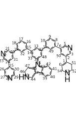 C1=C(c2cncc(-c3cccc(-c4cc(-c5cccc(-c6cncc(-c7ccncc7)c6)c5)cc(-n5c6c(c7ccccc75)=CNCC=6)c4)c3)c2)CCNC1